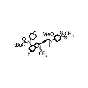 COc1cc(S(C)(=O)=O)ccc1NCC#Cc1cc2c(N(C(=O)OC(C)(C)C)C3CCOCC3)cc(F)cc2n1CC(F)(F)F